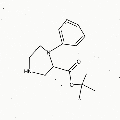 CC(C)(C)OC(=O)C1CNCCN1c1[c]cccc1